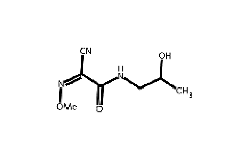 CON=C(C#N)C(=O)NCC(C)O